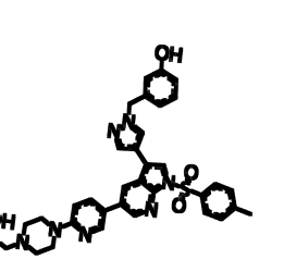 Cc1ccc(S(=O)(=O)n2cc(-c3cnn(Cc4cccc(O)c4)c3)c3cc(-c4ccc(N5CCN(CC(C)O)CC5)nc4)cnc32)cc1